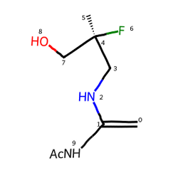 C=C(NC[C@](C)(F)CO)NC(C)=O